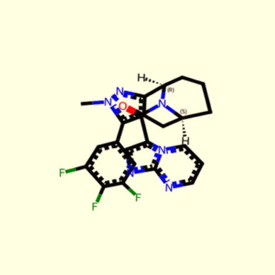 Cn1nc2c(c1-c1cc(F)c(F)c(F)c1)C[C@@H]1CCC[C@H]2N1C(=O)c1cnc2ncccn12